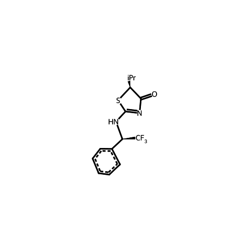 CC(C)[C@@H]1SC(N[C@H](c2ccccc2)C(F)(F)F)=NC1=O